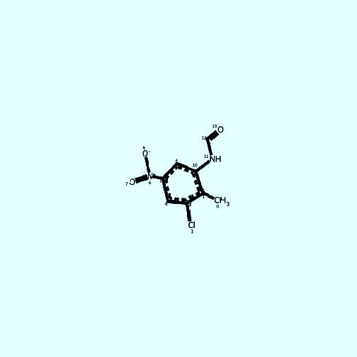 Cc1c(Cl)cc([N+](=O)[O-])cc1NC=O